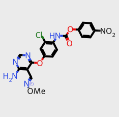 CO/N=C/c1c(N)ncnc1Oc1ccc(NC(=O)Oc2ccc([N+](=O)[O-])cc2)c(Cl)c1